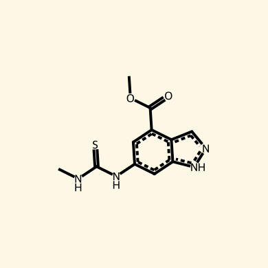 CNC(=S)Nc1cc(C(=O)OC)c2cn[nH]c2c1